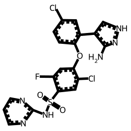 Nc1n[nH]cc1-c1cc(Cl)ccc1Oc1cc(F)c(S(=O)(=O)Nc2ncccn2)cc1Cl